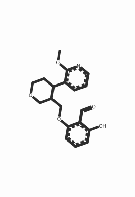 COc1ncccc1C1CCOCC1COc1cccc(O)c1C=O